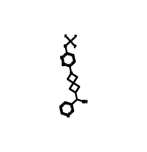 OC(c1cccnc1)C1CC2(C1)CN(c1ccc(OC(F)(F)F)nn1)C2